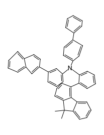 CC1(C)c2ccccc2-c2c(-c3ccccc3N(c3ccc(-c4ccccc4)cc3)c3cccc(-c4ccc5ccccc5c4)c3)cccc21